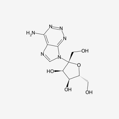 Nc1nnnc2c1ncn2[C@]1(CO)O[C@H](CO)[C@@H](O)[C@H]1O